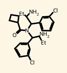 CCC(N)C(c1cccc(Cl)c1)N(C(=O)C1CCC1)C(c1cccc(Cl)c1)C(N)CC